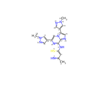 CC(=N)/C=C(\S)Nc1nc(-c2cnn(C)c2)cn2c(-c3cnn(C)c3)cnc12